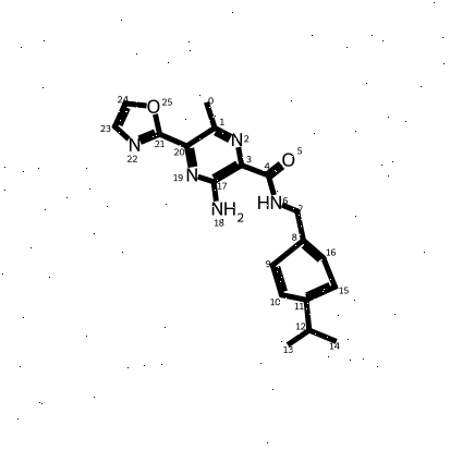 Cc1nc(C(=O)NCc2ccc(C(C)C)cc2)c(N)nc1-c1ncco1